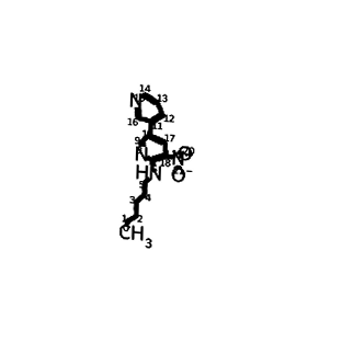 CCCCCCNc1ncc(-c2cccnc2)cc1[N+](=O)[O-]